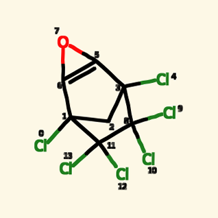 ClC12CC(Cl)(C3=C1O3)C(Cl)(Cl)C2(Cl)Cl